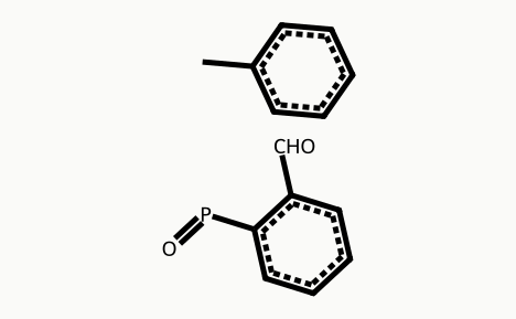 Cc1ccccc1.O=Cc1ccccc1P=O